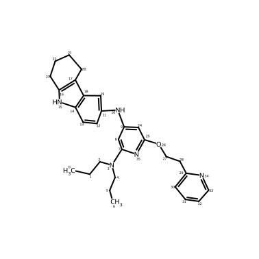 CCCN(CCC)c1cc(Nc2ccc3[nH]c4c(c3c2)CCCC4)cc(OCCc2ccccn2)n1